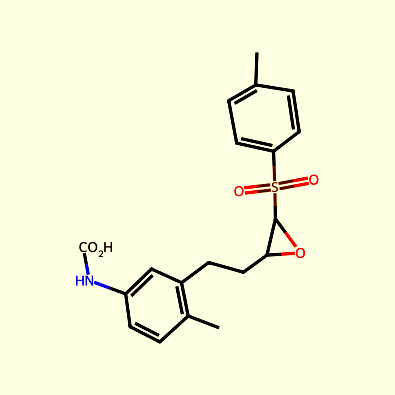 Cc1ccc(S(=O)(=O)C2OC2CCc2cc(NC(=O)O)ccc2C)cc1